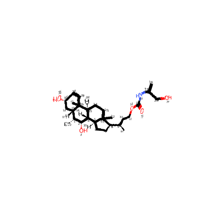 CC[C@H]1[C@@H](O)[C@H]2[C@@H]3CC[C@H]([C@H](C)CCOC(=O)NC(C)CO)C3(C)CC[C@@H]2C2(C)CC[C@@H](O)C[C@@H]12